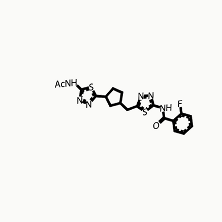 CC(=O)Nc1nnc(C2CCC(Cc3nnc(NC(=O)c4ccccc4F)s3)C2)s1